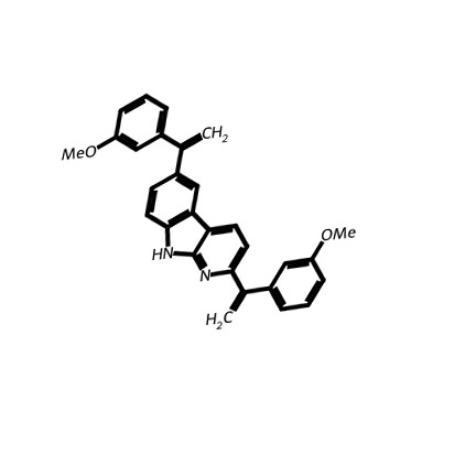 C=C(c1cccc(OC)c1)c1ccc2[nH]c3nc(C(=C)c4cccc(OC)c4)ccc3c2c1